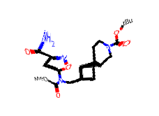 COC(=O)N(CC1CC2(CCN(C(=O)OC(C)(C)C)CC2)C1)c1cc(C(N)=O)no1